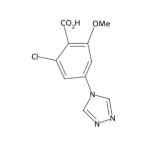 COc1cc(-n2cnnc2)cc(Cl)c1C(=O)O